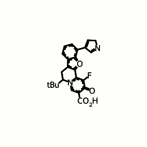 CC(C)(C)C1Cc2c(oc3c(C4=CCN=C4)cccc23)-c2c(F)c(=O)c(C(=O)O)cn21